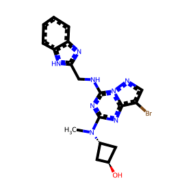 CN(c1nc(NCc2nc3ccccc3[nH]2)n2ncc(Br)c2n1)[C@H]1C[C@H](O)C1